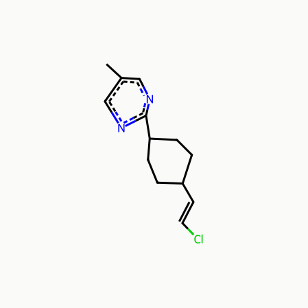 Cc1cnc(C2CCC(/C=C/Cl)CC2)nc1